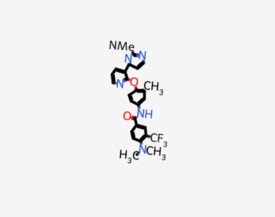 CNc1nccc(-c2cccnc2Oc2ccc(NC(=O)c3ccc(N(C)C)c(C(F)(F)F)c3)cc2C)n1